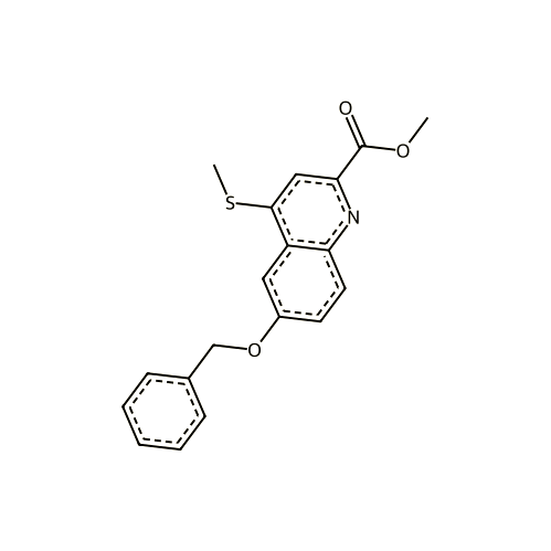 COC(=O)c1cc(SC)c2cc(OCc3ccccc3)ccc2n1